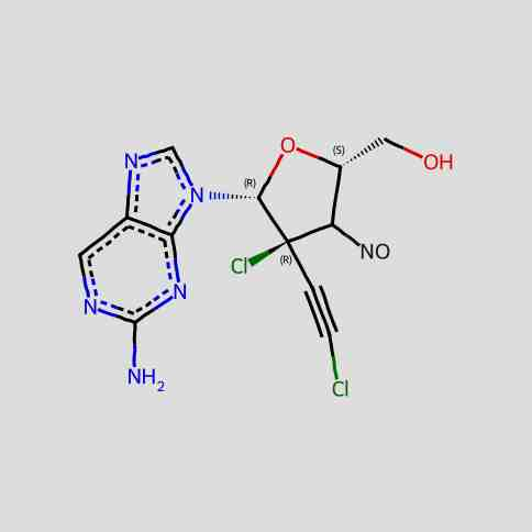 Nc1ncc2ncn([C@@H]3O[C@H](CO)C(N=O)[C@]3(Cl)C#CCl)c2n1